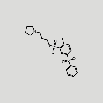 Cc1ccc(S(=O)(=O)c2ccccc2)cc1S(=O)(=O)NCCCN1CCCC1